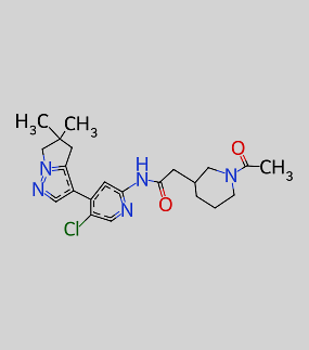 CC(=O)N1CCCC(CC(=O)Nc2cc(-c3cnn4c3CC(C)(C)C4)c(Cl)cn2)C1